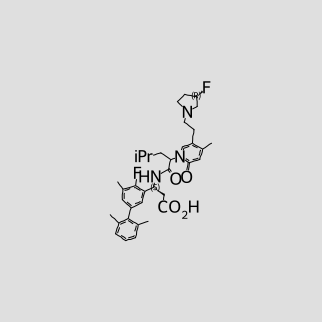 Cc1cc(=O)n(C(CC(C)C)C(=O)N[C@@H](CC(=O)O)c2cc(-c3c(C)cccc3C)cc(C)c2F)cc1CCN1CC[C@@H](F)C1